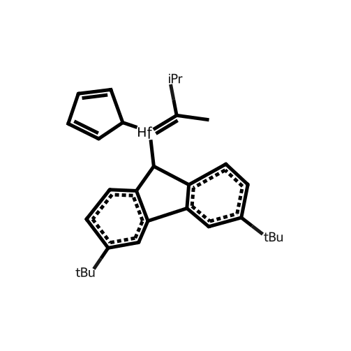 C[C](C(C)C)=[Hf]([CH]1C=CC=C1)[CH]1c2ccc(C(C)(C)C)cc2-c2cc(C(C)(C)C)ccc21